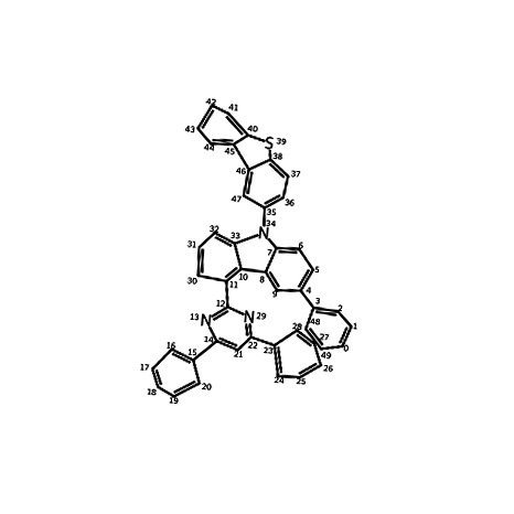 c1ccc(-c2ccc3c(c2)c2c(-c4nc(-c5ccccc5)cc(-c5ccccc5)n4)cccc2n3-c2ccc3sc4ccccc4c3c2)cc1